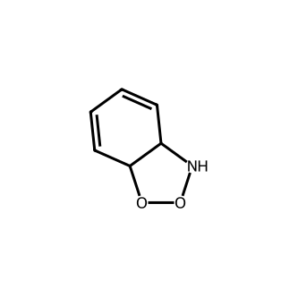 C1=CC2NOOC2C=C1